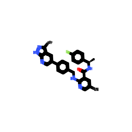 CCCc1n[nH]c2ncc(-c3ccc(CNc4ncc(C#N)cc4C(=O)N[C@@H](C)c4ccc(F)cc4)cc3)cc12